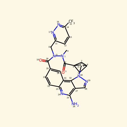 CN(C(=O)C12CC(C1)C2)N(Cc1ccc(C(F)(F)F)nn1)C(=O)c1ccc2nc(N)c3cnn(C)c3c2c1